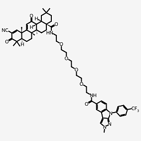 Cn1cc2c3cc(C(=O)NCCOCCOCCOCCOCCNC(=O)[C@]45CCC(C)(C)C[C@H]4[C@H]4C(=O)C=C6[C@@]7(C)C=C(C#N)C(=O)C(C)(C)[C@@H]7CC[C@@]6(C)[C@]4(C)CC5)ccc3n(-c3ccc(C(F)(F)F)cc3)c2n1